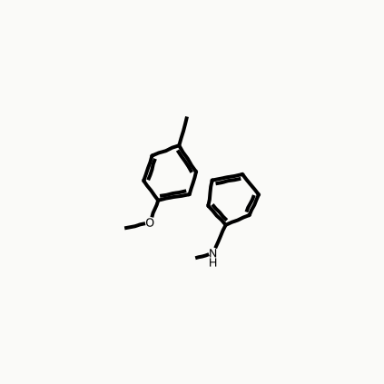 CNc1ccccc1.COc1ccc(C)cc1